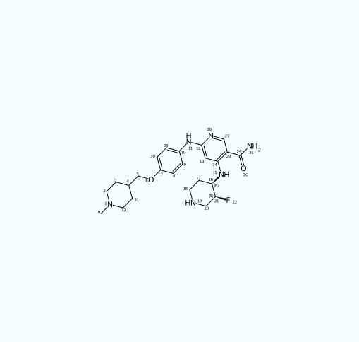 CN1CCC(COc2ccc(Nc3cc(N[C@@H]4CCNC[C@@H]4F)c(C(N)=O)cn3)cc2)CC1